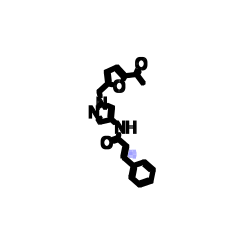 CC(=O)c1ccc(Cn2cc(NC(=O)/C=C/c3ccccc3)cn2)o1